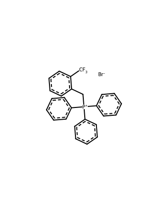 FC(F)(F)c1ccccc1C[P+](c1ccccc1)(c1ccccc1)c1ccccc1.[Br-]